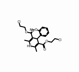 COc1ccccc1C1C(C(=O)OCCCl)=C(C)NC(C)=C1C(=O)OCCCl